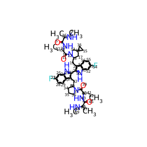 CC[C@H](NC(=O)[C@H](C)NC)C(=O)N1CC2(CC2)CC1Cc1c(-c2[nH]c3cc(F)ccc3c2C[C@@H]2CCCN2C(=O)[C@H](CC)NC(=O)[C@H](C)NC)[nH]c2cc(F)ccc12